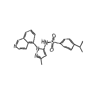 Cc1cc(NS(=O)(=O)c2ccc(C(C)C)cc2)n(-c2cccc3cnccc23)n1